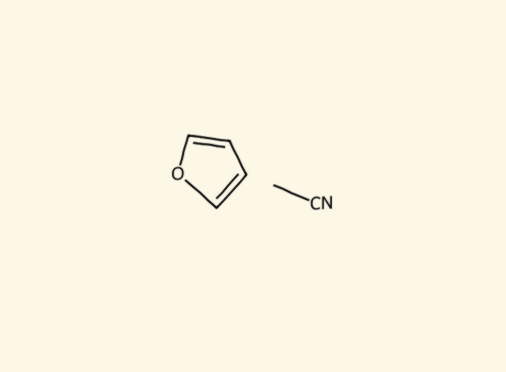 CC#N.c1ccoc1